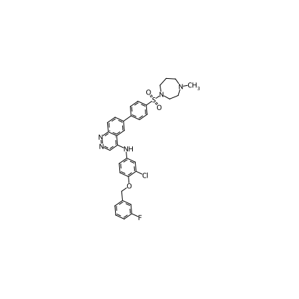 CN1CCCN(S(=O)(=O)c2ccc(-c3ccc4nncc(Nc5ccc(OCc6cccc(F)c6)c(Cl)c5)c4c3)cc2)CC1